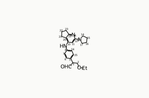 CCOCC(C=O)c1ccc(Nc2cc(N3CCCC3)nc3c2CCC3)cc1